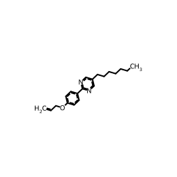 C=CCOc1ccc(-c2ncc(CCCCCCC)cn2)cc1